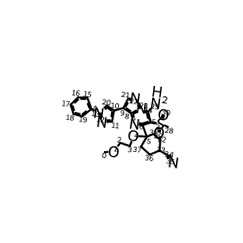 COCCOC1(c2nc3c(-c4cnn(-c5ccccc5)c4)cnn3c(N)c2S(C)(=O)=O)CCC(C#N)CC1